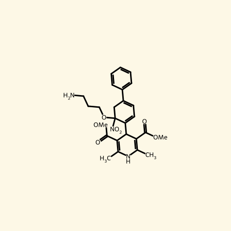 COC(=O)C1=C(C)NC(C)=C(C(=O)OC)C1C1=CC=C(c2ccccc2)CC1(OCCCN)[N+](=O)[O-]